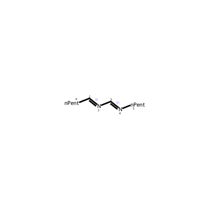 CCCCC/C=N/C=N/CCCCC